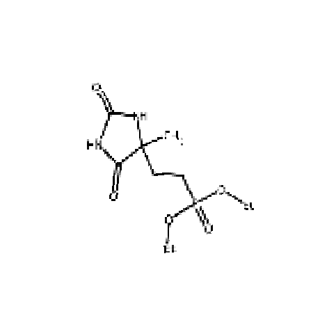 CCOP(=O)(CCC1(C)NC(=O)NC1=O)OCC